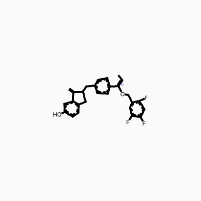 C=C1c2cc(O)ccc2CC1Cc1ccc(/C(=C\C)OCc2cc(F)c(F)cc2F)cc1